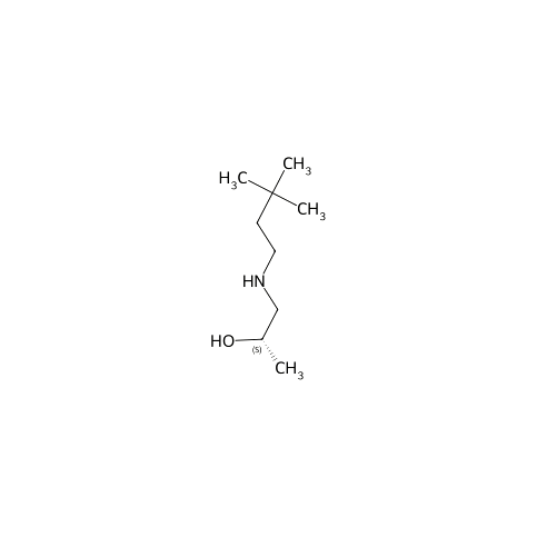 C[C@H](O)CNCCC(C)(C)C